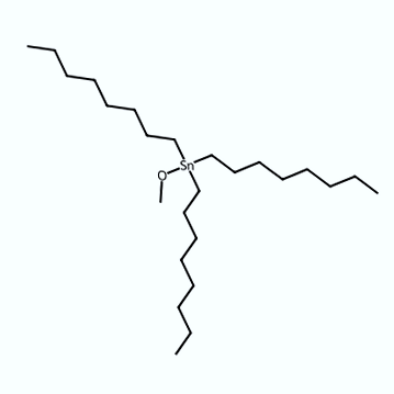 CCCCCCC[CH2][Sn]([CH2]CCCCCCC)([CH2]CCCCCCC)[O]C